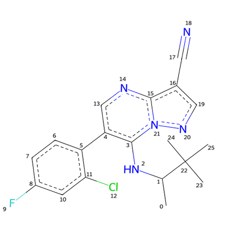 CC(Nc1c(-c2ccc(F)cc2Cl)cnc2c(C#N)cnn12)C(C)(C)C